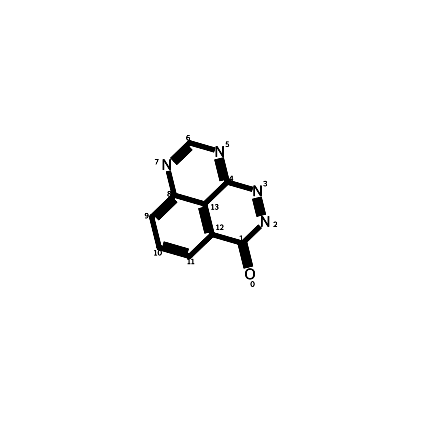 O=C1N=Nc2ncnc3cccc1c23